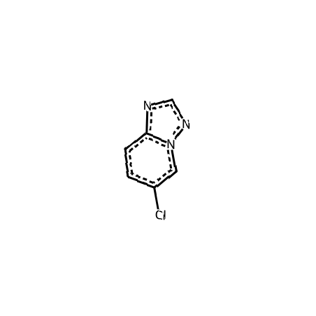 Clc1ccc2ncnn2c1